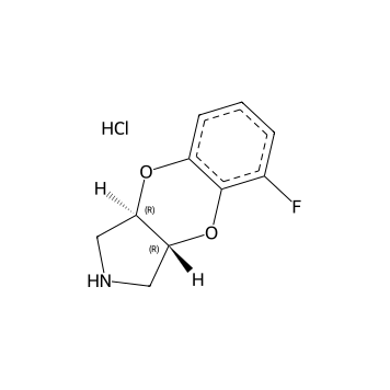 Cl.Fc1cccc2c1O[C@@H]1CNC[C@H]1O2